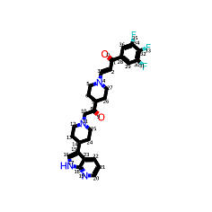 O=C(C=CN1CCC(C(=O)CN2CCC(c3c[nH]c4ncccc34)CC2)CC1)c1cc(F)c(F)c(F)c1